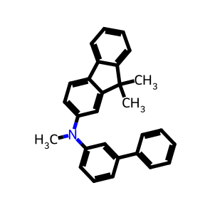 CN(c1cccc(-c2ccccc2)c1)c1ccc2c(c1)C(C)(C)c1ccccc1-2